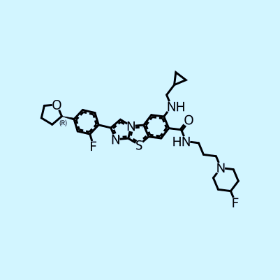 O=C(NCCCN1CCC(F)CC1)c1cc2sc3nc(-c4ccc([C@H]5CCCO5)cc4F)cn3c2cc1NCC1CC1